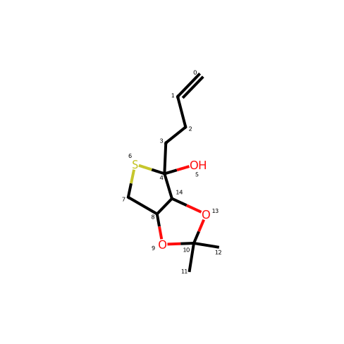 C=CCCC1(O)SCC2OC(C)(C)OC21